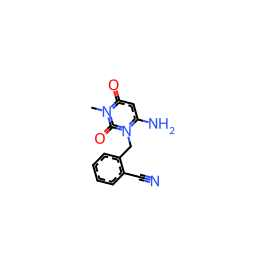 Cn1c(=O)cc(N)n(Cc2ccccc2C#N)c1=O